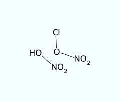 O=[N+]([O-])O.O=[N+]([O-])OCl